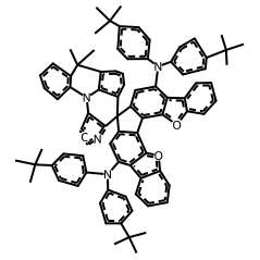 CC(C)(C)c1ccc(N(c2ccc(C(C)(C)C)cc2)c2cc3c(c4oc5ccccc5c24)-c2c(cc(N(c4ccc(C(C)(C)C)cc4)c4ccc(C(C)(C)C)cc4)c4c2oc2ccccc24)C32c3cccc4c3N(c3ccccc3C4(C)C)c3cccnc32)cc1